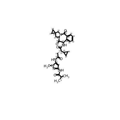 CC(C)C(=O)Nc1cc(NC(=O)C[C@H](C(=O)N[C@@H]2C(=O)N3CC4(CC4)CN3C(=O)c3ccccc32)C2CC2)n(C)n1